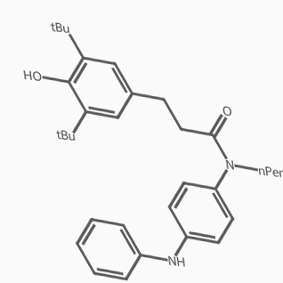 CCCCCN(C(=O)CCc1cc(C(C)(C)C)c(O)c(C(C)(C)C)c1)c1ccc(Nc2ccccc2)cc1